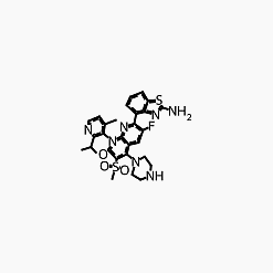 Cc1ccnc(C(C)C)c1-n1c(=O)c(S(C)(=O)=O)c(N2CCNCC2)c2cc(F)c(-c3cccc4sc(N)nc34)nc21